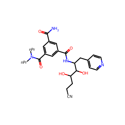 CCCN(CCC)C(=O)c1cc(C(N)=O)cc(C(=O)NC(Cc2ccncc2)C(O)C(O)CCC#N)c1